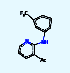 CC(=O)c1cccnc1Nc1cccc(C(F)(F)F)c1